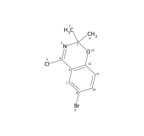 CC1(C)N=C(Cl)c2cc(Br)ccc2O1